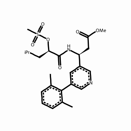 COC(=O)C[C@H](NC(=O)[C@@H](CC(C)C)OS(C)(=O)=O)c1cncc(-c2c(C)cccc2C)c1